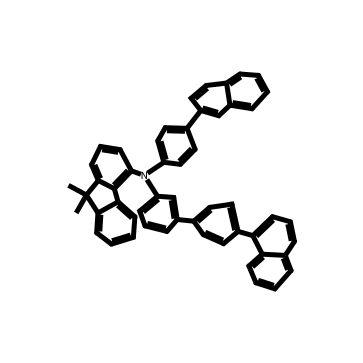 CC1(C)c2ccccc2-c2c(N(c3ccc(-c4ccc5ccccc5c4)cc3)c3cccc(-c4ccc(-c5cccc6ccccc56)cc4)c3)cccc21